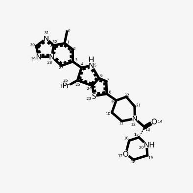 Cc1cc(-c2[nH]c3cc(C4CCN(C(=O)[C@H]5COCCN5)CC4)sc3c2C(C)C)cn2ncnc12